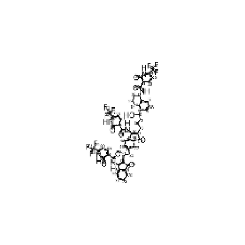 O=C1C(CCCC(O)c2cccc3c2CCCC3NC(=O)c2ccc(C(F)(F)F)[nH]c2=O)=C(NC(=O)c2ccc(C(F)(F)F)[nH]c2=O)c2ccc(CCC3=C(NC(=O)c4ccc(C(F)(F)F)[nH]c4=O)c4ccccc4C3=O)cc21